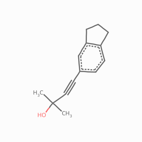 CC(C)(O)C#Cc1ccc2c(c1)CCC2